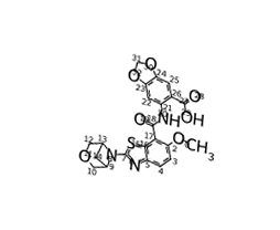 COc1ccc2nc(N3C4COCC3C4)sc2c1C(=O)Nc1cc2c(cc1C(=O)O)OCO2